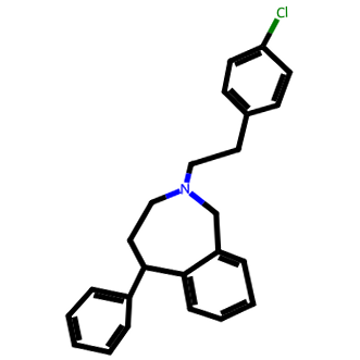 Clc1ccc(CCN2CCC(c3ccccc3)c3ccccc3C2)cc1